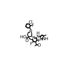 CC(=O)c1c(F)c(CC2(C(=O)O)CCN(Cc3cccc(Cl)c3F)CC2)nc(Nc2cc(C)[nH]n2)c1F